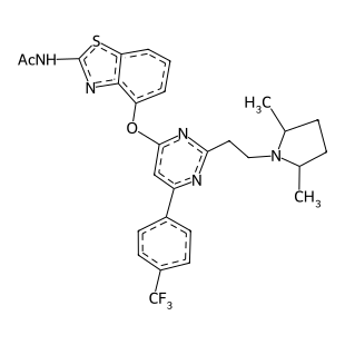 CC(=O)Nc1nc2c(Oc3cc(-c4ccc(C(F)(F)F)cc4)nc(CCN4C(C)CCC4C)n3)cccc2s1